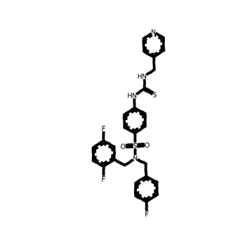 O=S(=O)(c1ccc(NC(=S)NCc2ccncc2)cc1)N(Cc1ccc(F)cc1)Cc1cc(F)ccc1F